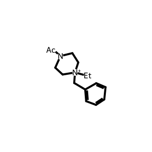 CC[N+]1(Cc2ccccc2)CCN(C(C)=O)CC1